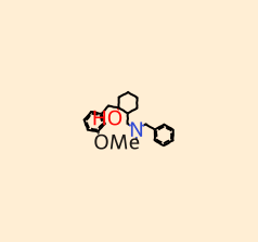 COc1cccc(CC2(O)CCCCC2CN(C)Cc2ccccc2)c1